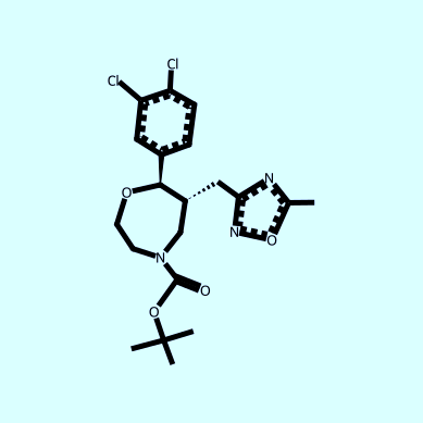 Cc1nc(C[C@@H]2CN(C(=O)OC(C)(C)C)CCO[C@H]2c2ccc(Cl)c(Cl)c2)no1